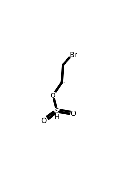 O=[SH](=O)O[CH]CBr